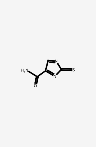 NC(=O)C1=NC(=S)N=C1